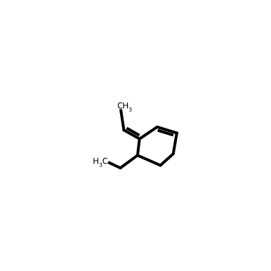 CC=C1C=CCCC1CC